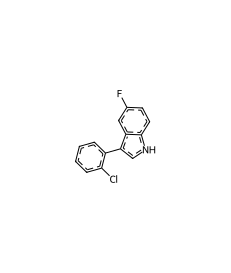 Fc1ccc2[nH]cc(-c3ccccc3Cl)c2c1